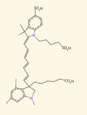 CN1[CH]C(C=CC=CC=CC=C2N(CCCCS(=O)(=O)O)c3ccc(S(=O)(=O)O)cc3C2(C)C)(CCCCCC(=O)O)c2c(I)cc(I)cc21